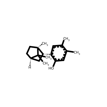 Cc1cc(O)c([C@@H]2C[C@H]3CC[C@]2(C)C3(C)C)cc1C